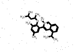 Cc1cc(C)c(OC(C)CC(C)O)c(-c2cc3c(C(C)C)cccc3c[n+]2C)c1